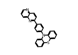 c1ccc2c(c1)Sc1ccccc1N2c1ccc(-c2ccc3ncccc3n2)cc1